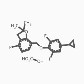 CC1(C)Cc2c(F)ccc(COc3c(F)cc(C4CC4)cc3F)c2O1.O=C(O)O